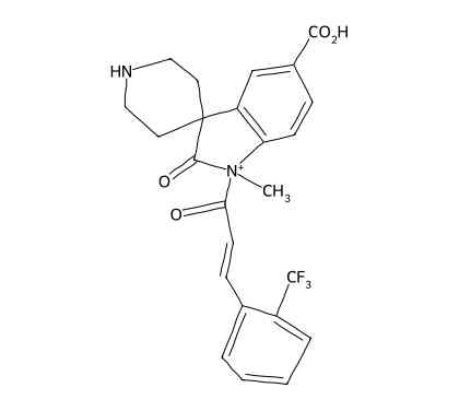 C[N+]1(C(=O)C=Cc2ccccc2C(F)(F)F)C(=O)C2(CCNCC2)c2cc(C(=O)O)ccc21